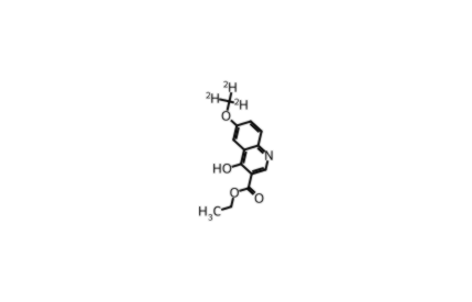 [2H]C([2H])([2H])Oc1ccc2ncc(C(=O)OCC)c(O)c2c1